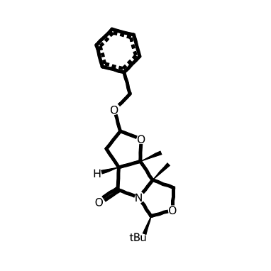 CC(C)(C)[C@@H]1OC[C@]2(C)N1C(=O)[C@@H]1CC(OCc3ccccc3)O[C@@]12C